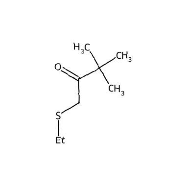 CCSCC(=O)C(C)(C)C